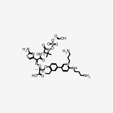 CC1(C)[C@H](NC(=O)/C(=N\O[C@](C)(C(=O)O)[C@H]2CCc3cc(-c4ccc(NCCCN)[n+](CCCN)c4)ccc3O2)c2csc(N)n2)C(=O)N1OS(=O)(=O)[O-].O=CO